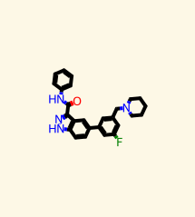 O=C(Nc1ccccc1)c1n[nH]c2ccc(-c3cc(F)cc(CN4CCCCC4)c3)cc12